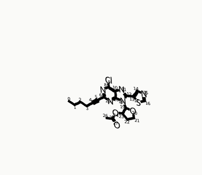 CCCCC#Cc1nc(Cl)c2nc(-c3cncs3)n(C3OCCC3OC(C)=O)c2n1